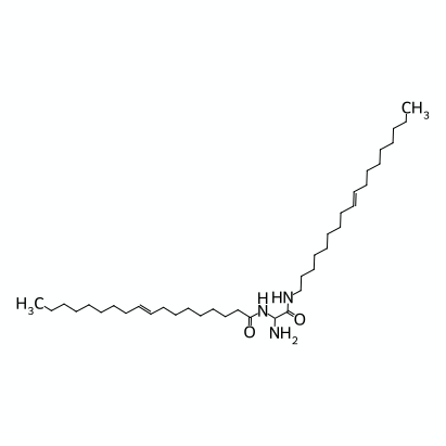 CCCCCCCCC=CCCCCCCCCNC(=O)C(N)NC(=O)CCCCCCCC=CCCCCCCCC